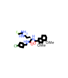 COc1cc2c(OC)cccc2cc1C(=O)N[C@@H](CCCNC(N)CF)C(=O)NCc1ccc(Cl)cc1